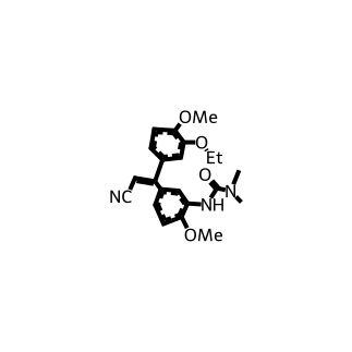 CCOc1cc(C(=CC#N)c2ccc(OC)c(NC(=O)N(C)C)c2)ccc1OC